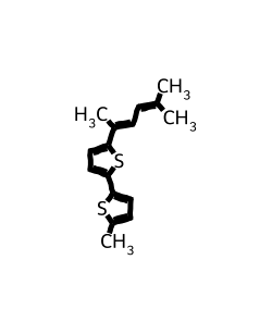 CC(C)=C/C=C(\C)c1ccc(-c2ccc(C)s2)s1